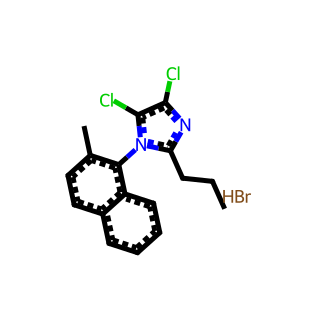 Br.CCCc1nc(Cl)c(Cl)n1-c1c(C)ccc2ccccc12